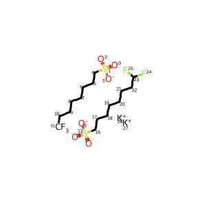 O=S(=O)([O-])CCCCCCCC(F)(F)F.O=S(=O)([O-])CCCCCCCC(F)F.[K+].[K+]